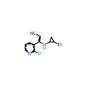 CCC1CC1N/C(=C/C#N)c1cccnc1Cl